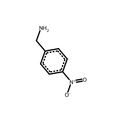 NCc1c[c]c([N+](=O)[O-])cc1